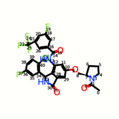 CC(=O)N1CCC[C@@H]1COc1cc(NC(=O)c2cc(F)cc(C(F)(F)F)c2)c2c(c1)C(=O)NC2c1cc(F)ccc1Cl